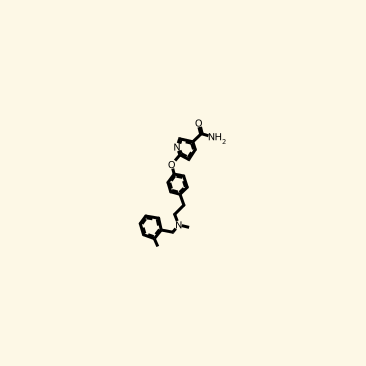 Cc1ccccc1CN(C)CCc1ccc(Oc2ccc(C(N)=O)cn2)cc1